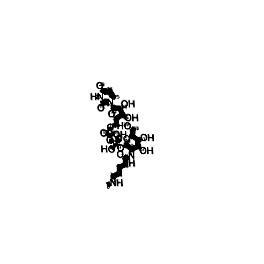 CNCCCCC(=O)NC1[C@@H](OP(=O)(O)OP(=O)(O)OCC2OC(n3ccc(=O)[nH]c3=O)C(O)C2O)OC(CO)C(O)[C@H]1O